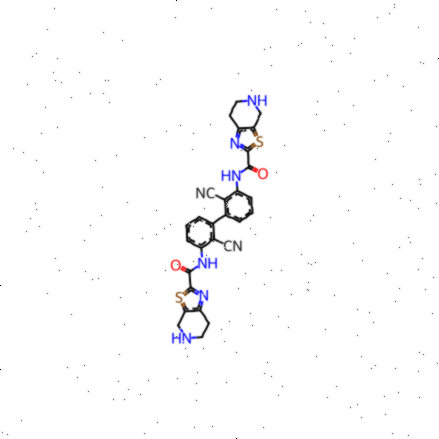 N#Cc1c(NC(=O)c2nc3c(s2)CNCC3)cccc1-c1cccc(NC(=O)c2nc3c(s2)CNCC3)c1C#N